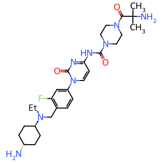 CCN(Cc1ccc(-n2ccc(NC(=O)N3CCN(C(=O)C(C)(C)N)CC3)nc2=O)cc1F)[C@H]1CC[C@H](N)CC1